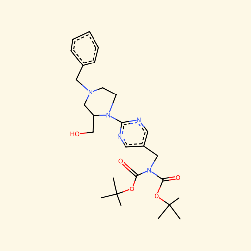 CC(C)(C)OC(=O)N(Cc1cnc(N2CCN(Cc3ccccc3)CC2CO)nc1)C(=O)OC(C)(C)C